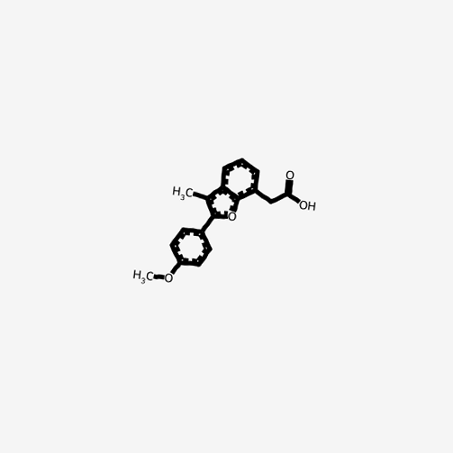 COc1ccc(-c2oc3c(CC(=O)O)cccc3c2C)cc1